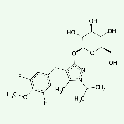 COc1c(F)cc(Cc2c(O[C@@H]3O[C@H](CO)[C@@H](O)[C@H](O)[C@H]3O)nn(C(C)C)c2C)cc1F